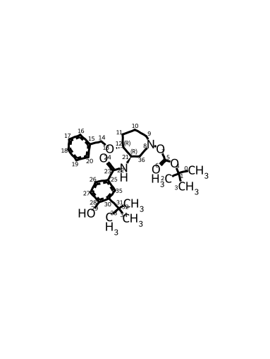 CC(C)(C)OC(=O)ON1CCC[C@@H](OCc2ccccc2)[C@H](NC(=O)c2ccc(O)c(C(C)(C)C)c2)C1